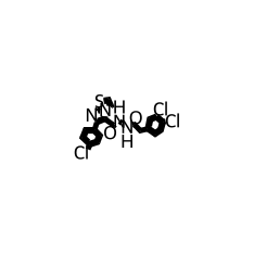 O=C(Cc1ccc(Cl)c(Cl)c1)NNC(=O)c1c(-c2ccc(Cl)cc2)nc2sccn12